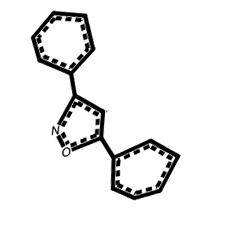 [c]1c(-c2ccccc2)noc1-c1ccccc1